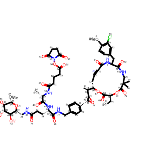 COc1ccc(CC2NC(=O)/C=C/C[C@@H]([C@H](C)[C@H]3O[C@@H]3c3ccc(CNC(=O)[C@H](CCC(=O)NC[C@H]4O[C@@H](OC)[C@H](O)[C@@H](O)[C@@H]4O)NC(=O)[C@@H](NC(=O)CCCC(=O)ON4C(=O)CCC4=O)C(C)C)cc3)OC(=O)[C@H](CC(C)C)OC(=O)C(C)(C)CNC2=O)cc1Cl